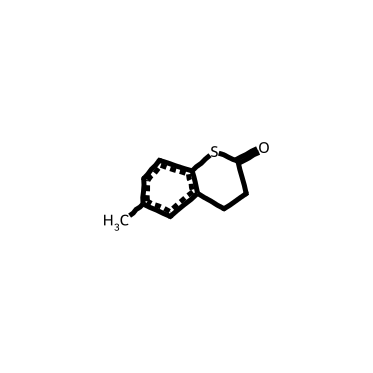 Cc1ccc2c(c1)CCC(=O)S2